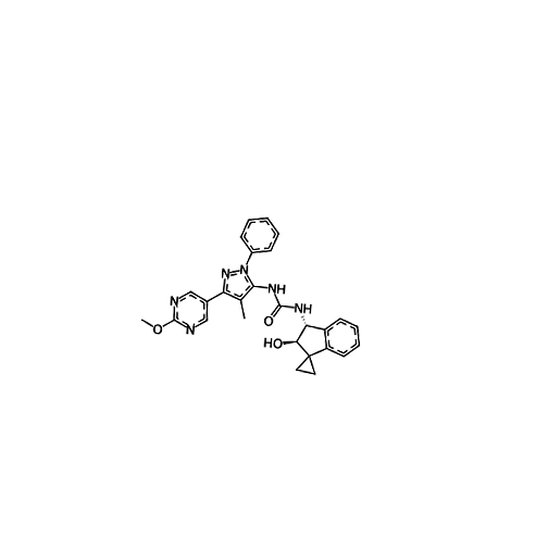 COc1ncc(-c2nn(-c3ccccc3)c(NC(=O)N[C@@H]3c4ccccc4C4(CC4)[C@H]3O)c2C)cn1